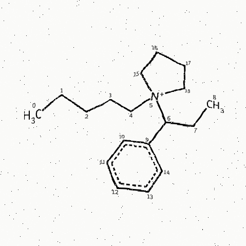 CCCCC[N+]1(C(CC)c2ccccc2)CCCC1